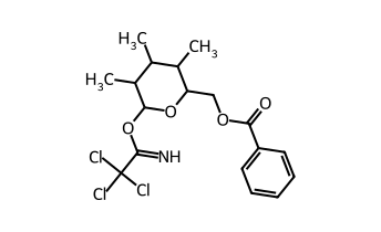 CC1C(COC(=O)c2ccccc2)OC(OC(=N)C(Cl)(Cl)Cl)C(C)C1C